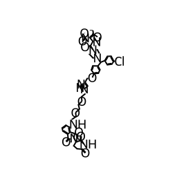 Cc1onc(C(=O)N2CCN(C(c3ccc(Cl)cc3)c3ccc(OCc4cn(CCOCCOCCNc5cccc6c5C(=O)N(C5CCC(=O)NC5=O)C6=O)nn4)cc3)CC2)c1[N+](=O)[O-]